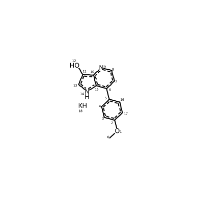 COc1ccc(-c2ccnc3c(O)c[nH]c23)cc1.[KH]